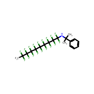 CC(C)(NC(F)(F)C(F)(F)C(F)(F)C(F)(F)C(F)(F)C(F)(F)C(F)(F)C(F)(F)C(F)(F)C(F)(F)F)c1ccccc1